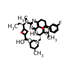 CC[C@@H](N(C)c1nc2c(c(N[C@@H](CN3CCC[C@H](C)C3)c3ccnn3C)n1)C[C@H](c1cccc(F)c1)CC2)C12CC(C(=O)O)(C1)C2